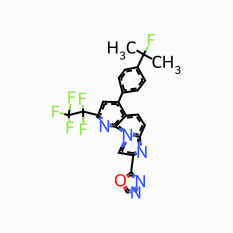 CC(C)(F)c1ccc(-c2cc(C(F)(F)C(F)(F)F)nc3c2ccc2nc(-c4nnco4)cn23)cc1